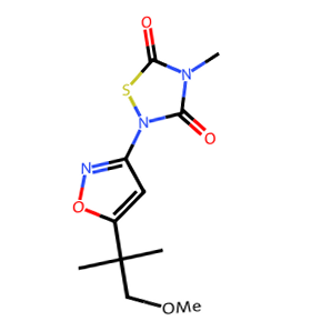 COCC(C)(C)c1cc(-n2sc(=O)n(C)c2=O)no1